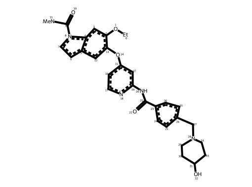 CCOc1cc2c(ccn2C(=O)NC)cc1Oc1ccnc(NC(=O)c2ccc(CN3CCC(O)CC3)cc2)c1